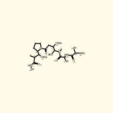 CCC(C)C(C(CC(=O)N1CCCC1C(OC)C(C)C(=O)NC(C)C)OC)N(C)C(=O)C(NC(=O)C(NC)C(C)C)C(C)C